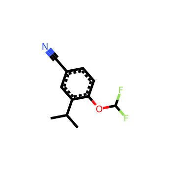 CC(C)c1cc(C#N)ccc1OC(F)F